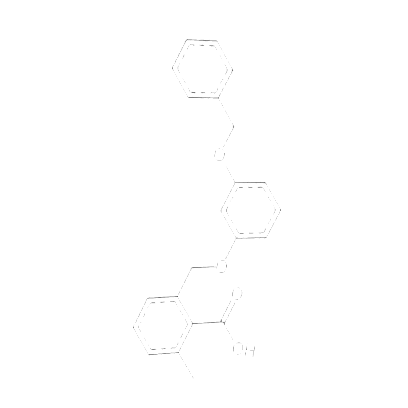 Cc1cccc(COc2cccc(OCc3ccccc3)c2)c1C(=O)O